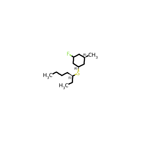 CCCC[C@H](CC)S[C@H]1CC(F)C[C@@H](C)C1